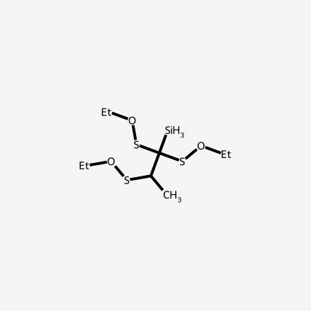 CCOSC(C)C([SiH3])(SOCC)SOCC